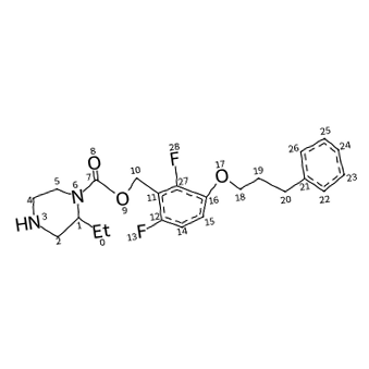 CCC1CNCCN1C(=O)OCc1c(F)ccc(OCCCc2ccccc2)c1F